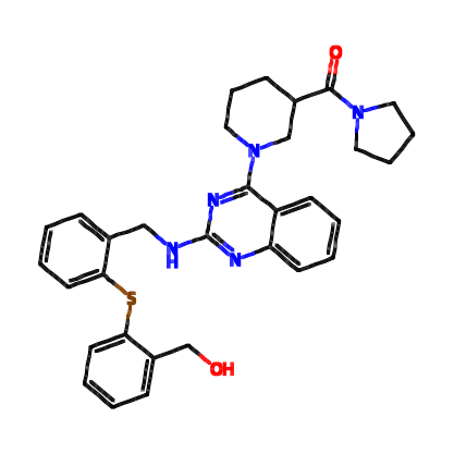 O=C(C1CCCN(c2nc(NCc3ccccc3Sc3ccccc3CO)nc3ccccc23)C1)N1CCCC1